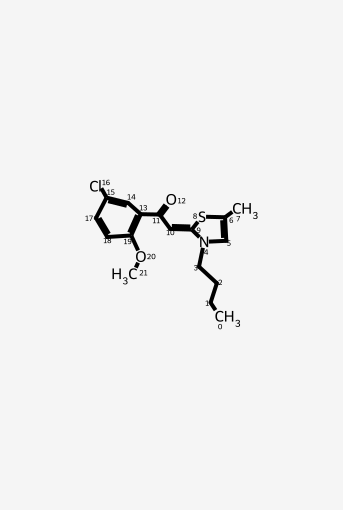 CCCCN1C=C(C)SC1=CC(=O)c1cc(Cl)ccc1OC